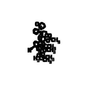 CC(=O)O[C@@H](C(=O)Nc1ccc(C#N)c(CN(C(=O)OC(C)(C)C)C(=O)OC(C)(C)C)c1)[C@H]1OCCN(c2ccccc2N2CCCCC2=O)C1=O